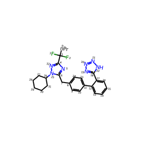 CCCC(F)(F)c1nc(Cc2ccc(-c3ccccc3-c3nnn[nH]3)cc2)n(C2CCCCC2)n1